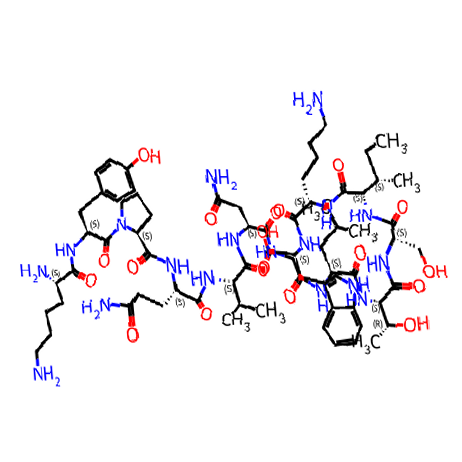 CC[C@H](C)[C@H](NC(=O)[C@H](CO)NC(=O)[C@@H](NC(=O)[C@H](CC(C)C)NC(=O)CNC(=O)[C@H](CC(N)=O)NC(=O)[C@@H](NC(=O)[C@H](CCC(N)=O)NC(=O)[C@@H]1CCCN1C(=O)[C@H](Cc1ccc(O)cc1)NC(=O)[C@@H](N)CCCCN)C(C)C)[C@@H](C)O)C(=O)N[C@@H](CCCCN)C(=O)N[C@@H](Cc1c[nH]c2ccccc12)C(=O)O